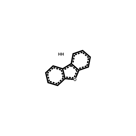 [HH].c1ccc2c(c1)oc1ccccc12